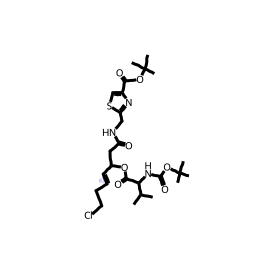 CC(C)C(NC(=O)OC(C)(C)C)C(=O)OC(/C=C/CCCl)CC(=O)NCc1nc(C(=O)OC(C)(C)C)cs1